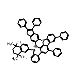 CC1(C)CCC(C)(C)c2cc(Nc3ccccc3-c3cc(-c4ccccc4)c4c5cc(-c6ccccc6)ccc5n5c4c3Bc3cc4oc(-c6ccccc6)c(-c6ccccc6)c4cc3-5)ccc21